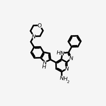 Nc1cc(-c2cc3cc(CN4CCOCC4)ccc3[nH]2)c2[nH]c(-c3ccccc3)nc2n1